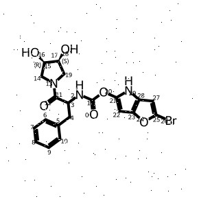 O=C(NC(Cc1ccccc1)C(=O)N1C[C@@H](O)[C@@H](O)C1)Oc1cc2oc(Br)cc2[nH]1